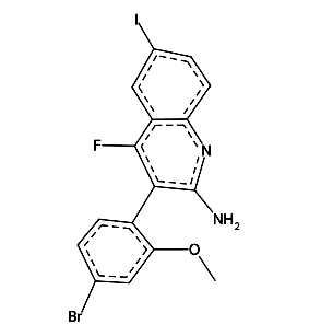 COc1cc(Br)ccc1-c1c(N)nc2ccc(I)cc2c1F